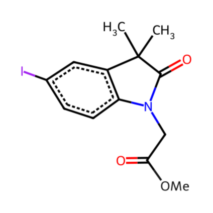 COC(=O)CN1C(=O)C(C)(C)c2cc(I)ccc21